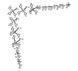 [O-][Si]([O-])([O-])F.[O-][Si]([O-])([O-])F.[O-][Si]([O-])([O-])F.[O-][Si]([O-])([O-])F.[O-][Si]([O-])([O-])F.[O-][Si]([O-])([O-])F.[Tl+].[Tl+].[Tl+].[Tl+].[Tl+].[Tl+].[Tl+].[Tl+].[Tl+].[Tl+].[Tl+].[Tl+].[Tl+].[Tl+].[Tl+].[Tl+].[Tl+].[Tl+]